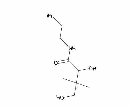 CC(C)CCNC(=O)C(O)C(C)(C)CO